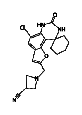 N#CC1CN(Cc2cc3cc(Cl)c4c(c3o2)C2(CCCCC2)NC(=O)N4)C1